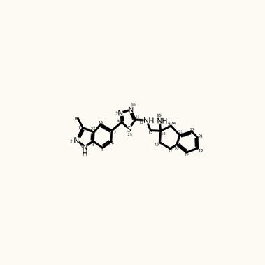 Cc1n[nH]c2ccc(-c3nnc(NCC4(N)CCc5ccccc5C4)s3)cc12